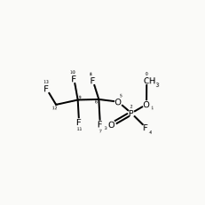 COP(=O)(F)OC(F)(F)C(F)(F)CF